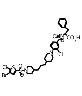 O=C(O)C(Cc1ccccc1)NS(=O)(=O)c1ccc(N2CCC(CCCC3CCN(S(=O)(=O)c4cc(Br)c(Cl)s4)CC3)CC2)c(Cl)c1